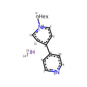 CCCCCC[n+]1ccc(-c2ccncc2)cc1.I.[I-]